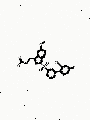 COc1ccc2c(c1)c(CCC(=O)O)cn2S(=O)(=O)c1cccc(-c2ccc(F)cc2Cl)c1